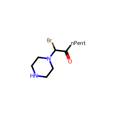 CCCCCC(=O)C(Br)N1CCNCC1